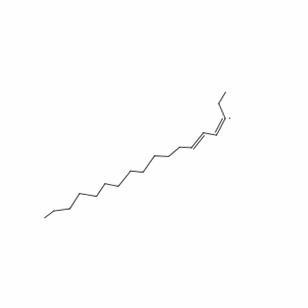 CC/[C]=C\C=C\CCCCCCCCCCCC